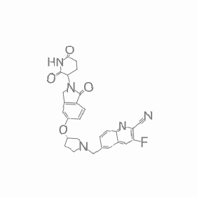 N#Cc1nc2ccc(CN3CC[C@H](Oc4ccc5c(c4)CN(C4CCC(=O)NC4=O)C5=O)C3)cc2cc1F